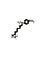 COC(=O)CCCCCCN(C)c1ccc(N)cc1